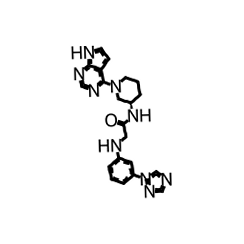 O=C(CNc1cccc(-n2cncn2)c1)N[C@@H]1CCCN(c2ncnc3[nH]ccc23)C1